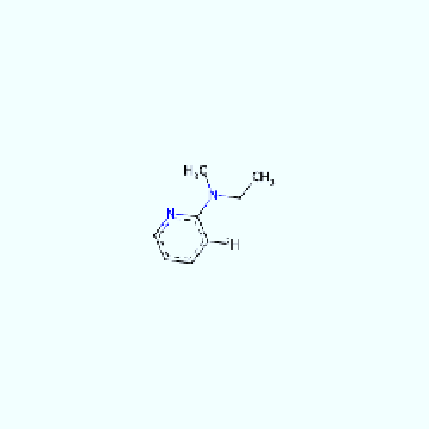 [2H]c1cccnc1N(C)CC